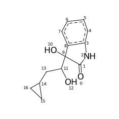 O=C1Nc2ccccc2C1(O)C(O)CC1CC1